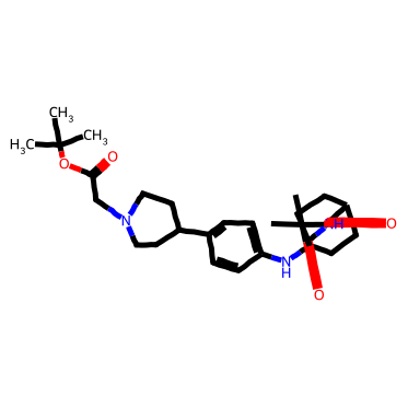 CC(C)(C)OC(=O)CN1CCC(c2ccc(NC34CCC(CC3)C(=O)NC4=O)cc2)CC1